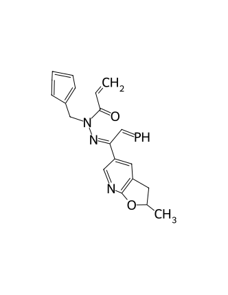 C=CC(=O)N(Cc1ccccc1)/N=C(\C=P)c1cnc2c(c1)CC(C)O2